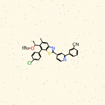 [CH2][C@H](OC(C)(C)C)c1c(C)cc2nc(-c3ccnc(-c4cccc(C#N)c4)c3)sc2c1-c1ccc(Cl)cc1